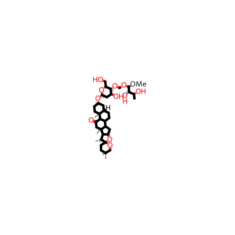 COC(OCO[C@H]1C(O)C[C@@H](O[C@H]2CC[C@]3(C)C4C(=O)C[C@@]5(C)C(CC6OC7(CC[C@@H](C)CO7)[C@H](C)C65)C4CC[C@H]3C2)OC1CO)[C@@H](O)C(C)O